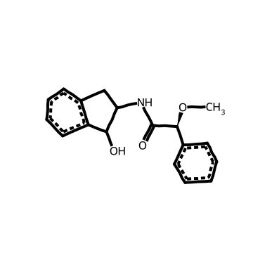 CO[C@H](C(=O)NC1Cc2ccccc2C1O)c1ccccc1